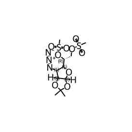 CC1(C)O[C@H]2O[C@H]([C@@H](COS(C)(=O)=O)OS(C)(=O)=O)[C@H](N=[N+]=[N-])[C@H]2O1